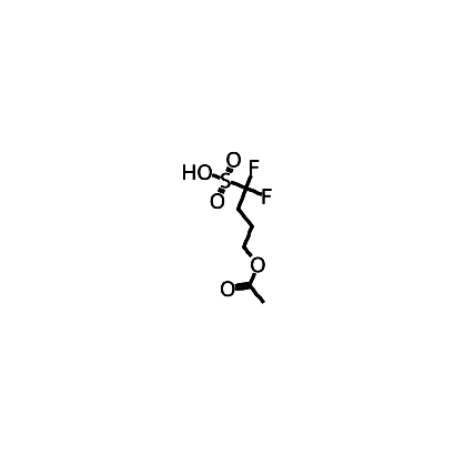 CC(=O)OCCCC(F)(F)S(=O)(=O)O